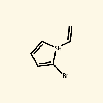 C=C[SH]1C=CC=C1Br